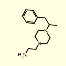 CC(Cc1ccccc1)N1CCN(CCN)CC1